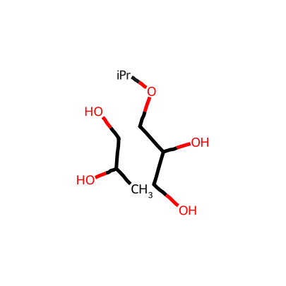 CC(C)OCC(O)CO.CC(O)CO